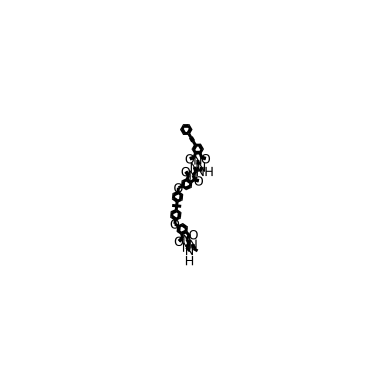 Cc1nc(N2C(=O)c3ccc(Oc4ccc(C(C)(C)c5ccc(Oc6ccc7c(c6)C(=O)N(c6nc(N8C(=O)c9ccc(C#Cc%10ccccc%10)cc9C8=O)n[nH]6)C7=O)cc5)cc4)cc3C2=O)n[nH]1